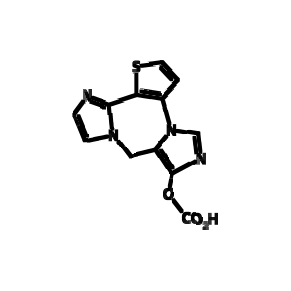 O=C(O)Oc1ncn2c1Cn1ccnc1-c1sccc1-2